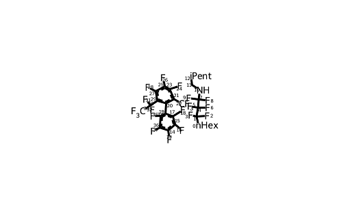 CCCCCCC(F)(F)C(F)(F)C(F)(F)NCC(C)CCC.Fc1c(F)c(F)c(-c2c(C(F)(F)F)c(F)c(F)c(F)c2C(F)(F)C(F)(F)F)c(F)c1F